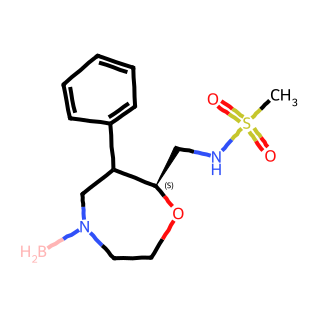 BN1CCO[C@H](CNS(C)(=O)=O)C(c2ccccc2)C1